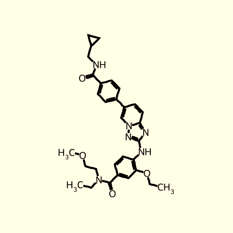 CCOc1cc(C(=O)N(CC)CCOC)ccc1Nc1nc2ccc(-c3ccc(C(=O)NCC4CC4)cc3)cn2n1